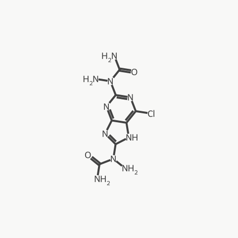 NC(=O)N(N)c1nc(Cl)c2[nH]c(N(N)C(N)=O)nc2n1